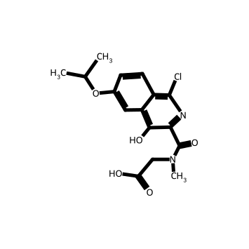 CC(C)Oc1ccc2c(Cl)nc(C(=O)N(C)CC(=O)O)c(O)c2c1